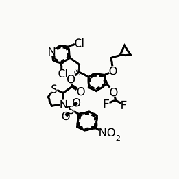 O=C(O[C@@H](Cc1c(Cl)cncc1Cl)c1ccc(OC(F)F)c(OCC2CC2)c1)C1SCCN1S(=O)(=O)c1ccc([N+](=O)[O-])cc1